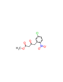 COC(=O)CC(=O)Cc1cc(Cl)ccc1[N+](=O)[O-]